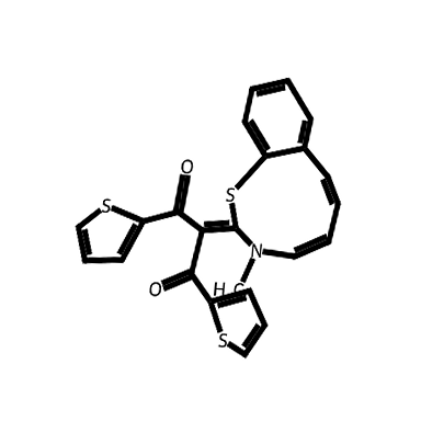 CN1C=CC=Cc2ccccc2SC1=C(C(=O)c1cccs1)C(=O)c1cccs1